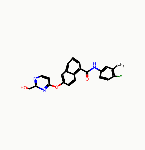 O=C(Nc1ccc(F)c(C(F)(F)F)c1)c1cccc2cc(Oc3ccnc(CO)n3)ccc12